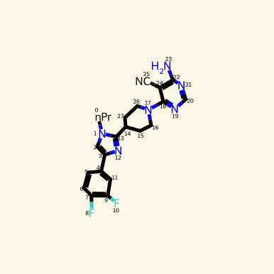 CCCn1cc(-c2ccc(F)c(F)c2)nc1C1CCN(c2ncnc(N)c2C#N)CC1